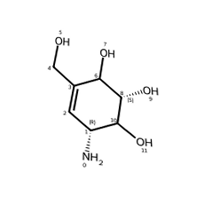 N[C@@H]1C=C(CO)C(O)[C@H](O)C1O